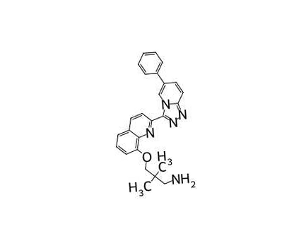 CC(C)(CN)COc1cccc2ccc(-c3nnc4ccc(-c5ccccc5)cn34)nc12